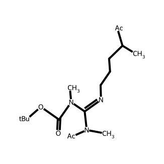 CC(=O)C(C)CCC/N=C(/N(C)C(C)=O)N(C)C(=O)OC(C)(C)C